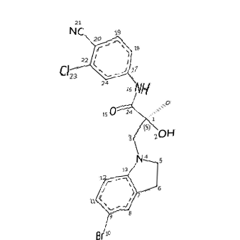 C[C@](O)(CN1CCc2cc(Br)ccc21)C(=O)Nc1ccc(C#N)c(Cl)c1